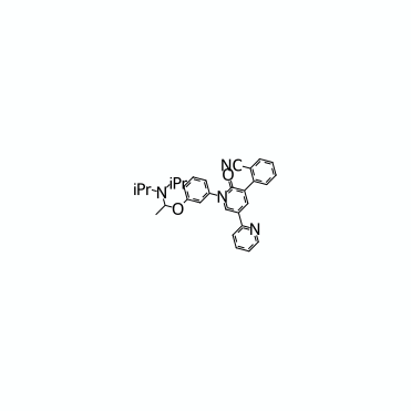 CC(C)N(C(C)C)C(C)Oc1cccc(-n2cc(-c3ccccn3)cc(-c3ccccc3C#N)c2=O)c1